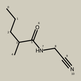 CCCC(C)C(=O)NCC#N